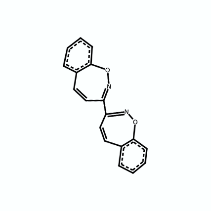 C1=Cc2ccccc2ON=C1C1=NOc2ccccc2C=C1